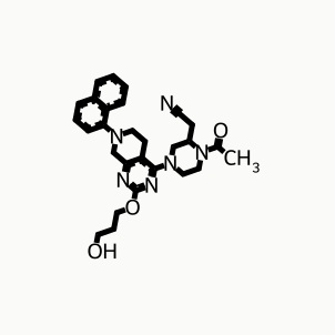 CC(=O)N1CCN(c2nc(OCCCO)nc3c2CCN(c2cccc4ccccc24)C3)CC1CC#N